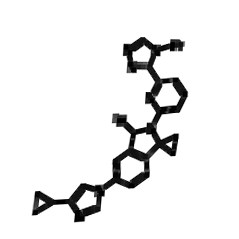 [2H]C1c2cc(-n3cnc(C4CC4)c3)ccc2C2(CC2)N1c1cccc(-c2nncn2C(C)C)n1